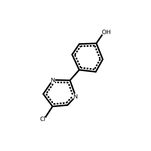 Oc1ccc(-c2ncc(Cl)cn2)cc1